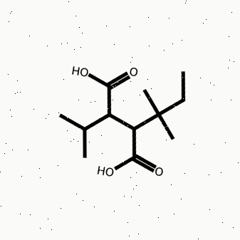 CCC(C)(C)C(C(=O)O)C(C(=O)O)C(C)C